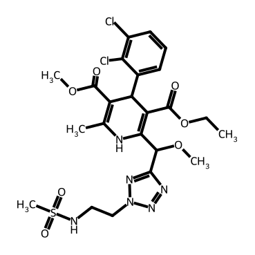 CCOC(=O)C1=C(C(OC)c2nnn(CCNS(C)(=O)=O)n2)NC(C)=C(C(=O)OC)C1c1cccc(Cl)c1Cl